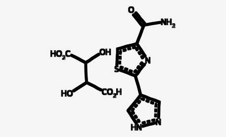 NC(=O)c1csc(-c2cn[nH]c2)n1.O=C(O)C(O)C(O)C(=O)O